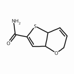 NC(=O)C1=CC2OCC=CC2S1